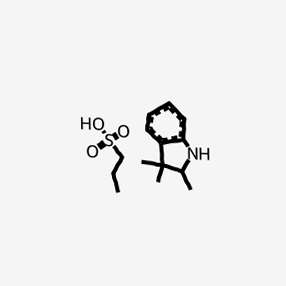 CC1Nc2ccccc2C1(C)C.CCCS(=O)(=O)O